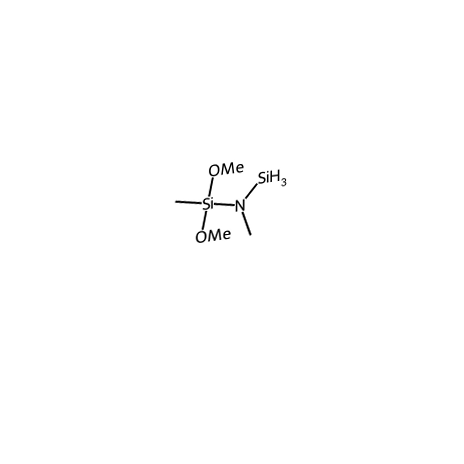 CO[Si](C)(OC)N(C)[SiH3]